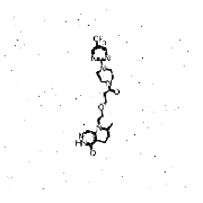 CC1CCc2c(cn[nH]c2=O)N1CCOCCC(=O)N1CCN(c2ncc(C(F)(F)F)cn2)CC1